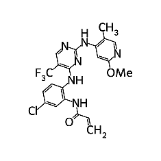 C=CC(=O)Nc1cc(Cl)ccc1Nc1nc(Nc2cc(OC)ncc2C)ncc1C(F)(F)F